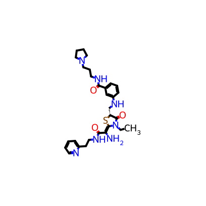 CCN1C(=O)[C@@H](CNc2cccc(C(=O)NCCCN3CCCC3)c2)S/C1=C(/N)C(=O)NCCc1ccccn1